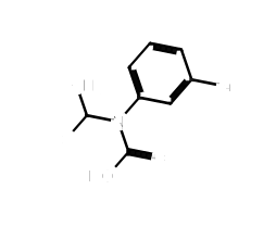 CC(C)N(C(=O)O)c1cccc(Br)c1